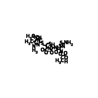 CC[C@@H](O/N=C(\C(=O)NC1C(=O)N2C(C(=O)[O-])=C(CSc3nc(N)c(C)c4n(C)cn[n+]34)CS[C@@H]12)c1csc(N)n1)C(=O)O